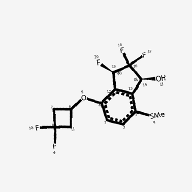 CSc1ccc(OC2CC(F)(F)C2)c2c1[C@H](O)C(F)(F)[C@@H]2F